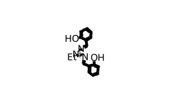 [CH2][CH2][Ni]([N]=Cc1ccccc1O)[N]=Cc1ccccc1O